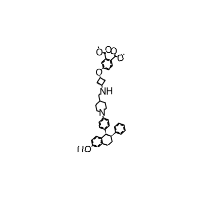 COC(=O)c1ccc(O[C@H]2C[C@H](NCC3CCN(c4ccc([C@@H]5c6ccc(O)cc6CC[C@@H]5c5ccccc5)cc4)CC3)C2)cc1C(=O)OC